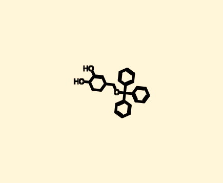 OC1=CC(COC(c2ccccc2)(c2ccccc2)c2ccccc2)CCC1O